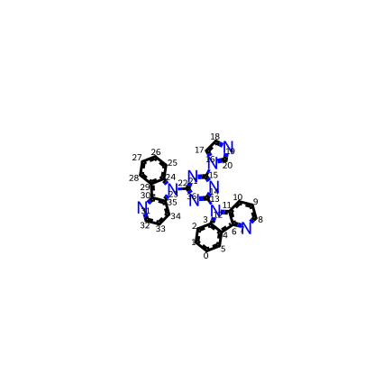 c1ccc2c(c1)c1ncccc1n2-c1nc(-n2ccnc2)nc(-n2c3ccccc3c3ncccc32)n1